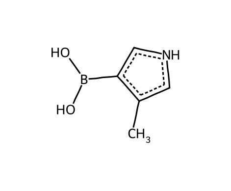 Cc1c[nH]cc1B(O)O